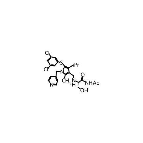 CC(=O)NC(=O)[C@H](CO)NCc1c(C(C)C)c(Sc2cc(Cl)cc(Cl)c2)n(Cc2ccncc2)c1C